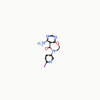 Nc1ncnc2c1C(=O)N(c1ccc(I)nc1)CCO2